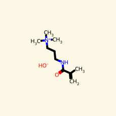 C=C(C)C(=O)NCCC[N+](C)(C)C.[OH-]